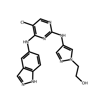 OCCn1cc(Nc2ncc(Cl)c(Nc3ccc4[nH]ncc4c3)n2)cn1